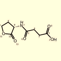 O=C(O)CCC(=O)N[C@H]1CCOC1=O